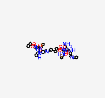 NCCCC[C@@H](NC1CCC2(CC1)CCN(Cc1ccccc1)C2)C(=O)N1CCN(C(O)Oc2cccc3c(-c4cccc(CN5CCC6(CCC(N[C@H](CC7CCCCC7)C(=O)N7CCN(C(=O)Oc8cccc9ccccc89)C[C@H]7C(=O)NCc7cccs7)CC6)C5)c4)cccc23)C[C@H]1C(=O)NCc1cccs1